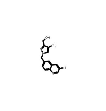 OCc1nn(Cc2ccc3ncc(Cl)cc3c2)cc1C(F)(F)F